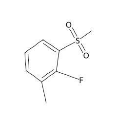 Cc1cccc(S(C)(=O)=O)c1F